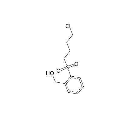 O=S(=O)(CCCCCl)c1ccccc1CO